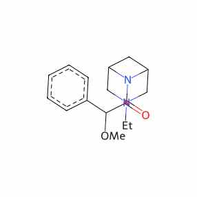 CCN1CC2CC(C1)N2C(=O)C(OC)c1ccccc1